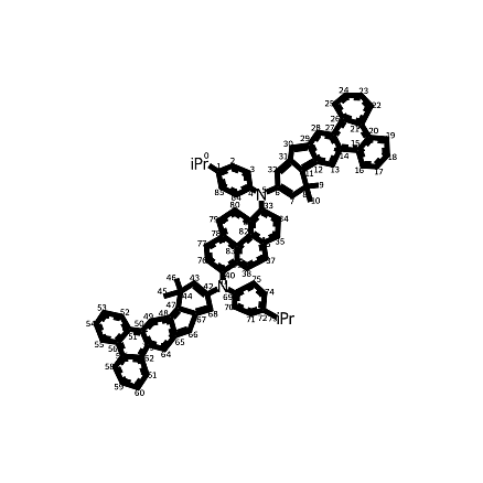 CC(C)c1ccc(N(C2=CC(C)(C)C3=c4cc5c6ccccc6c6ccccc6c5cc4=CC3=C2)c2ccc3ccc4c(N(C5=CC(C)(C)C6=c7cc8c9ccccc9c9ccccc9c8cc7=CC6=C5)c5ccc(C(C)C)cc5)ccc5ccc2c3c54)cc1